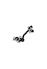 CC(C)(C)OC(=O)N(CCCCCCCC#Cc1cccc2c1C(=O)N(C1CCC(=O)NC1=O)C2=O)C(=O)OC(C)(C)C